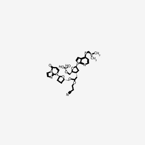 CN(C)/C=N\c1ccnc2c1ccn2[C@H]1C[C@H](CC(OCCC#N)OC[C@@H]2CC[C@H](n3ccc(=O)n4ccnc34)O2)[C@@H](COP(O)O)O1